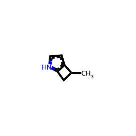 CC1Cc2[nH]ccc21